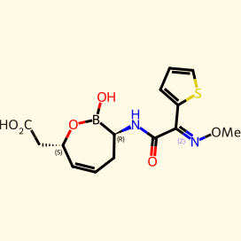 CO/N=C(/C(=O)N[C@H]1CC=C[C@H](CC(=O)O)OB1O)c1cccs1